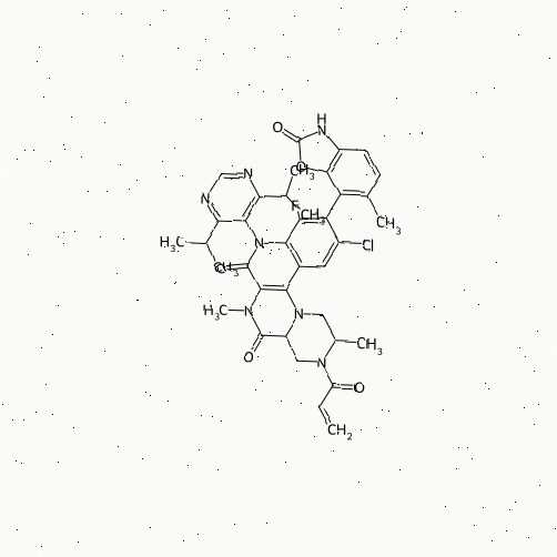 C=CC(=O)N1CC2C(=O)N(C)c3c(c4cc(Cl)c(-c5c(C)ccc6[nH]c(=O)oc56)c(F)c4n(-c4c(C(C)C)ncnc4C(C)C)c3=O)N2CC1C